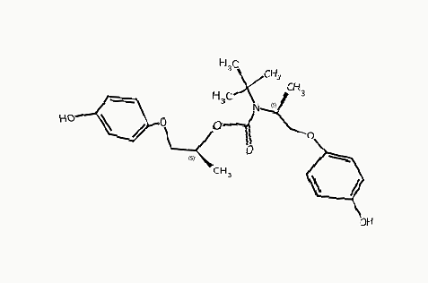 C[C@@H](COc1ccc(O)cc1)OC(=O)N([C@@H](C)COc1ccc(O)cc1)C(C)(C)C